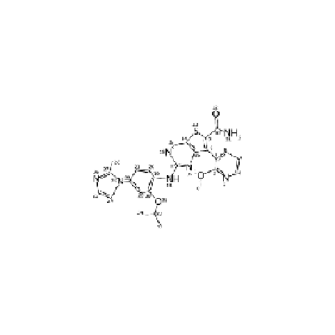 COc1ncccc1-c1c(C(N)=O)sc2cnc(Nc3ccc(-n4ccnc4C)cc3OC(C)C)nc12